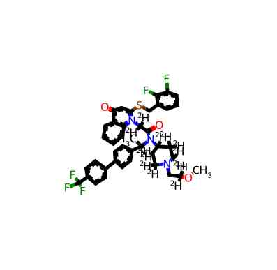 [2H]C([2H])(CN1C([2H])([2H])C([2H])([2H])C([2H])(N(C(=O)C([2H])([2H])n2c(SCc3cccc(F)c3F)cc(=O)c3ccccc32)C([2H])(C)c2ccc(-c3ccc(C(F)(F)F)cc3)cc2)C([2H])([2H])C1([2H])[2H])OC